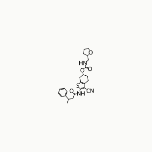 CC(CC(=O)Nc1sc2c(c1C#N)CCC(OC(=O)NCC1CCCO1)C2)c1ccccc1